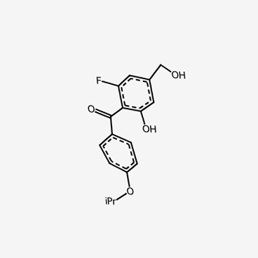 CC(C)Oc1ccc(C(=O)c2c(O)cc(CO)cc2F)cc1